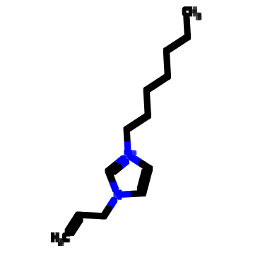 C=CCn1cc[n+](CCCCCCC)c1